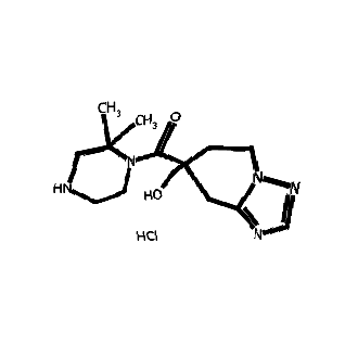 CC1(C)CNCCN1C(=O)C1(O)CCn2ncnc2C1.Cl